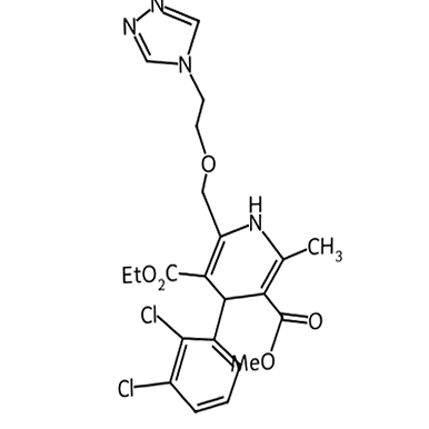 CCOC(=O)C1=C(COCCn2cnnc2)NC(C)=C(C(=O)OC)C1c1cccc(Cl)c1Cl